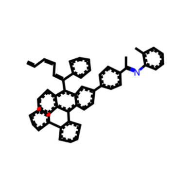 C=C/C=C\C=C(/c1ccccc1)c1c2ccccc2c(-c2ccccc2-c2ccccc2)c2ccc(-c3ccc(/C(C)=N/c4ccccc4C)cc3)cc12